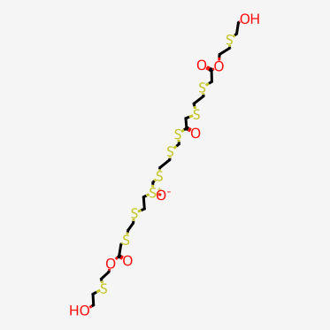 O=C(CSCCSCC[S+]([O-])CSCCSCSC(=O)CSCCSCC(=O)OCCSCCO)OCCSCCO